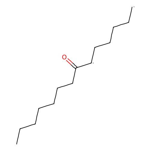 [CH2]CCCC[CH]C(=O)CCCCCCC